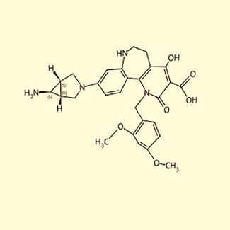 COc1ccc(Cn2c3c(c(O)c(C(=O)O)c2=O)CCNc2cc(N4C[C@@H]5[C@@H](N)[C@@H]5C4)ccc2-3)c(OC)c1